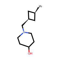 CC(C)[C@H]1C[C@@H](CN2CCC(O)CC2)C1